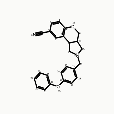 N#Cc1ccc2c(c1)C1CN(Cc3ccc(Oc4ccccc4)cc3)CC1CO2